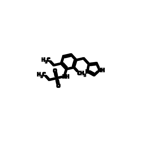 CCc1ccc(Cc2c[nH]cn2)c(C)c1NS(=O)(=O)CC